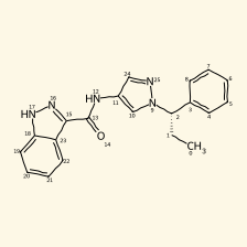 CC[C@@H](c1ccccc1)n1cc(NC(=O)c2n[nH]c3ccccc23)cn1